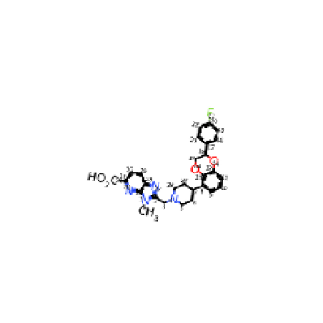 Cn1c(CN2CCC(c3cccc4c3OCC(c3ccc(F)cc3)O4)CC2)nc2ccc(C(=O)O)nc21